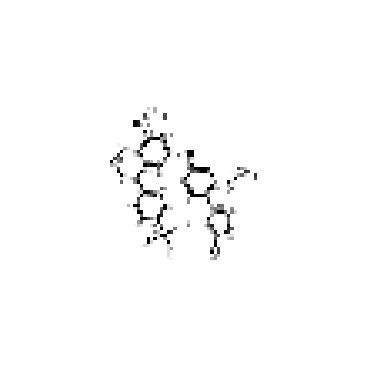 CNc1nc(Nc2ccc(-n3cnc(Cl)c3)c(OC)c2)nc2c1COCC2c1ccc(C(F)(F)F)cc1